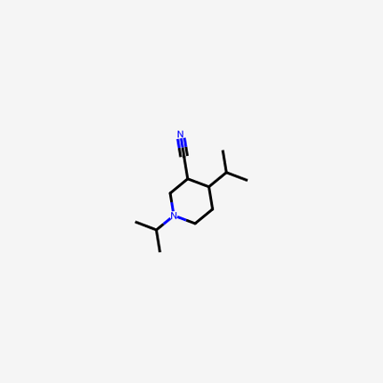 CC(C)C1CCN(C(C)C)CC1C#N